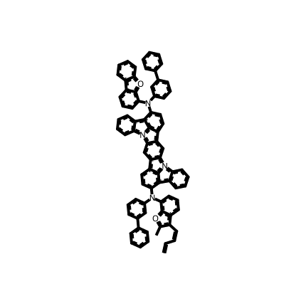 C=C/C=C\c1c(C)oc2c(N(c3cccc(-c4ccccc4)c3)c3ccc4c5cc6c(cc5n5c7ccccc7c3c45)c3ccc(N(c4cccc(-c5ccccc5)c4)c4cccc5c4oc4ccccc45)c4c5ccccc5n6c34)cccc12